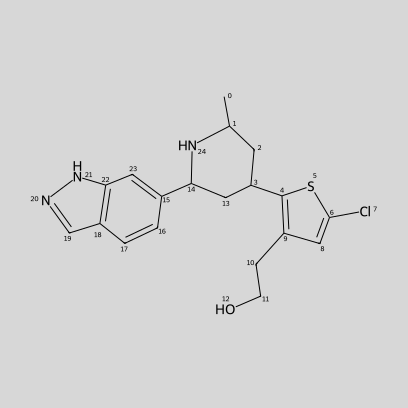 CC1CC(c2sc(Cl)cc2CCO)CC(c2ccc3cn[nH]c3c2)N1